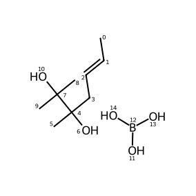 C/C=C/CC(C)(O)C(C)(C)O.OB(O)O